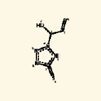 C=CC(O)n1nnc(=S)[nH]1